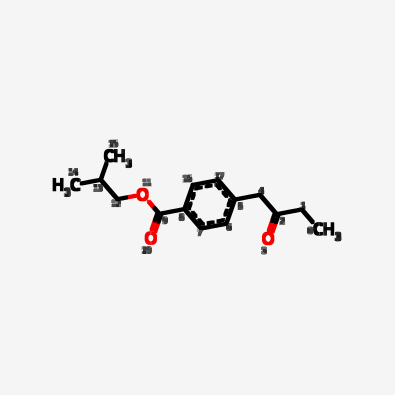 CCC(=O)Cc1ccc(C(=O)OCC(C)C)cc1